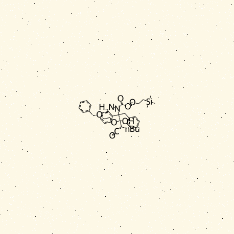 CCCCC(=C=O)C(O)(OCCOCc1ccccc1)C(Cc1ccccc1)(c1ccccc1)N(N)C(=O)OOCC[Si](C)(C)C